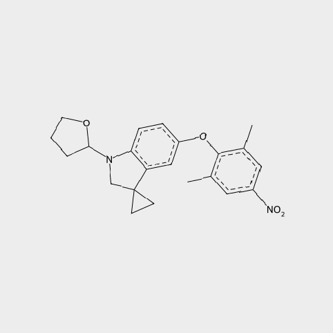 Cc1cc([N+](=O)[O-])cc(C)c1Oc1ccc2c(c1)C1(CC1)CN2C1CCCO1